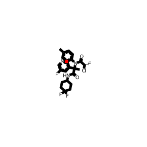 Cc1ccc(N(C(=O)[C@H](F)Cl)C(C)(C(=O)NC2CCC(F)(F)CC2)c2cncc(F)c2)cc1